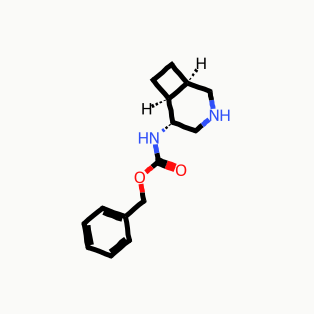 O=C(N[C@H]1CNC[C@@H]2CC[C@@H]21)OCc1ccccc1